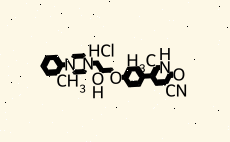 Cc1ccccc1N1CCN(CC(O)COc2ccc(-c3cc(C#N)c(=O)[nH]c3C)cc2)CC1.Cl